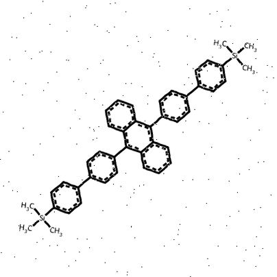 C[Si](C)(C)c1ccc(-c2ccc(-c3c4ccccc4c(-c4ccc(-c5ccc([Si](C)(C)C)cc5)cc4)c4ccccc34)cc2)cc1